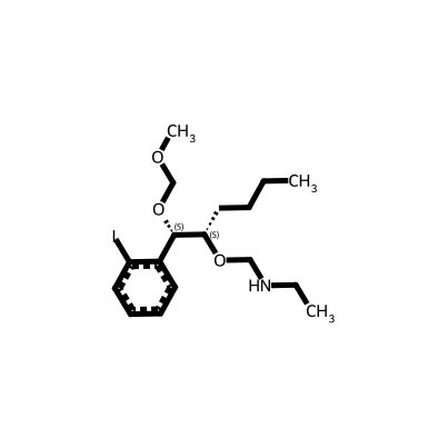 CCCC[C@H](OCNCC)[C@@H](OCOC)c1ccccc1I